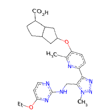 CCOc1ccnc(NCc2c(-c3ccc(OC4CC5CCC(C(=O)O)C5C4)c(C)n3)nnn2C)n1